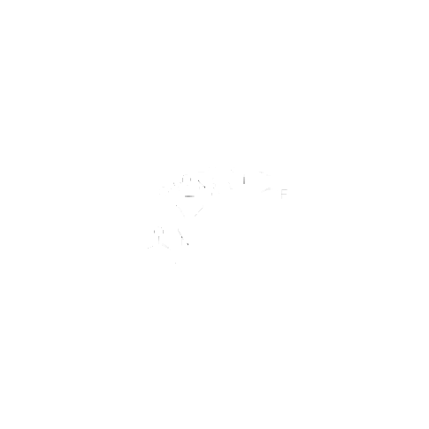 Cc1nc(-c2ccc(NS(=O)(=O)c3sc4ccc(F)cc4c3C)c(S(C)(=O)=O)c2)oc1C